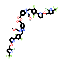 COCCn1c(Cc2cc(F)c(-c3cccc(OCc4ccc(C(F)(F)F)nc4Cl)n3)cc2F)nc2ccc(C(=O)OC(=O)c3ccc4nc(Cc5cc(F)c(-c6cccc(OCc7ccc(C(F)(F)F)nc7Cl)n6)cc5F)n(CCOC)c4c3)cc21